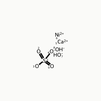 O=S(=O)([O-])[O-].[Ca+2].[Ni+2].[OH-].[OH-]